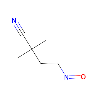 CC(C)(C#N)CCN=O